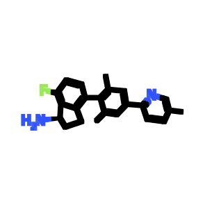 Cc1ccc(-c2cc(C)c(-c3ccc(F)c4c3CC[C@H]4N)c(C)c2)nc1